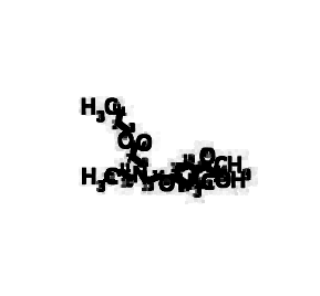 CCCCOC(=O)CCN(CCC)CCOc1ccc(C(=O)C(C)(C)O)cc1